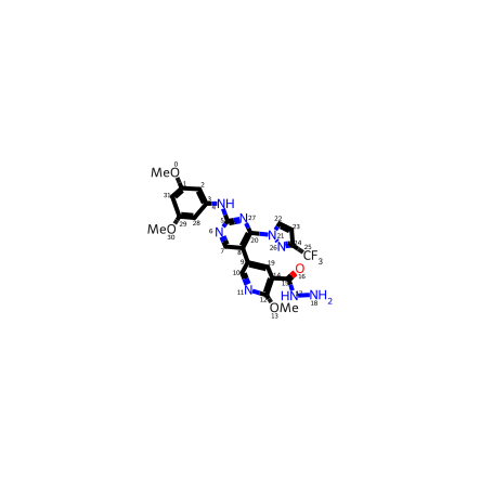 COc1cc(Nc2ncc(-c3cnc(OC)c(C(=O)NN)c3)c(-n3ccc(C(F)(F)F)n3)n2)cc(OC)c1